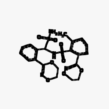 Cc1cccc(C2=NOCCO2)c1S(=O)(=O)NC(c1ccccc1C1=NOCCO1)S(N)(=O)=O